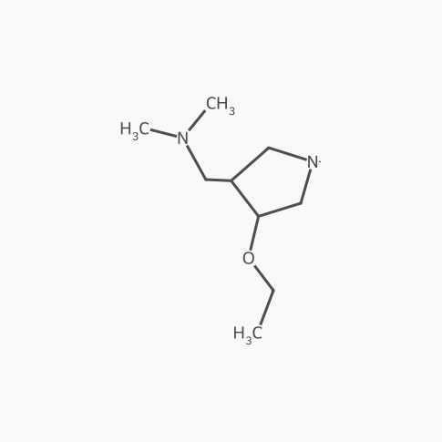 CCOC1C[N]CC1CN(C)C